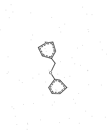 [c]1cccc(OCc2ccncc2)c1